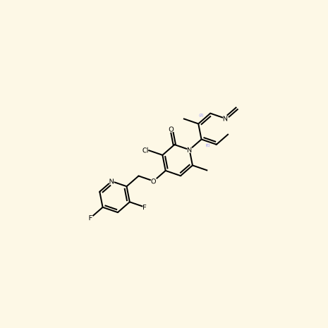 C=N/C=C(C)\C(=C/C)n1c(C)cc(OCc2ncc(F)cc2F)c(Cl)c1=O